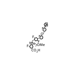 COC(C)Cn1c(Cc2cc(F)c(-c3cccc(OCc4ccc(-n5ccnn5)nc4)n3)cc2F)nc2c(F)cc(C(=O)O)cc21